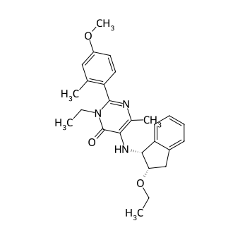 CCO[C@H]1Cc2ccccc2[C@H]1Nc1c(C)nc(-c2ccc(OC)cc2C)n(CC)c1=O